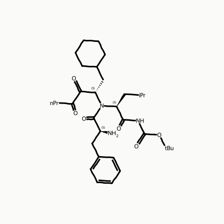 CCCC(=O)C(=O)[C@H](CC1CCCCC1)N(C(=O)[C@@H](N)Cc1ccccc1)[C@@H](CC(C)C)C(=O)NC(=O)OC(C)(C)C